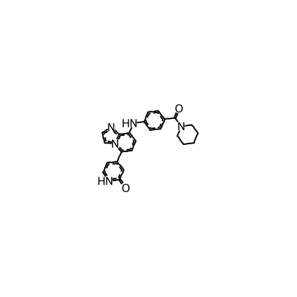 O=C(c1ccc(Nc2ccc(-c3cc[nH]c(=O)c3)n3ccnc23)cc1)N1CCCCC1